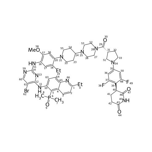 CCc1ccc2c(P(C)(C)=O)c(Nc3nc(Nc4cc(CC)c(N5CCC(N6CCN(C(=O)[C@@H]7CCN(c8cc(F)c([C@@H]9CCC(=O)NC9=O)c(F)c8)C7)CC6)CC5)cc4OC)ncc3Br)ccc2n1